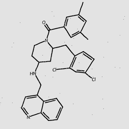 Cc1cc(C)cc(C(=O)N2CCC(NCc3ccnc4ccccc34)CC2Cc2ccc(Cl)cc2Cl)c1